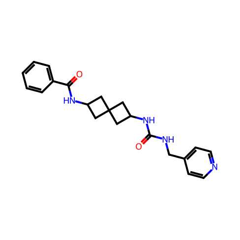 O=C(NCc1ccncc1)NC1CC2(C1)CC(NC(=O)c1ccccc1)C2